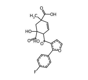 CC1(C(=O)O)C=CC(C(=O)c2ccoc2-c2ccc(F)cc2)C(O)(C(=O)O)C1